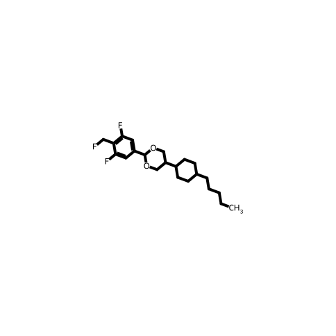 CCCCCC1CCC(C2COC(c3cc(F)c(CF)c(F)c3)OC2)CC1